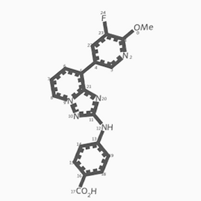 COc1ncc(-c2cccn3nc(Nc4ccc(C(=O)O)cc4)nc23)cc1F